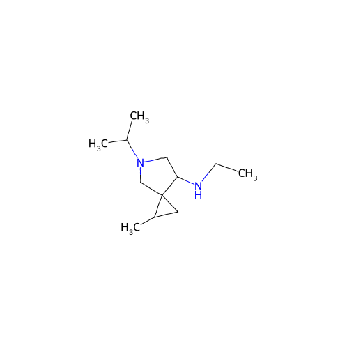 CCNC1CN(C(C)C)CC12CC2C